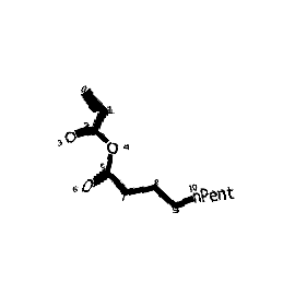 C=CC(=O)OC(=O)CCCCCCCC